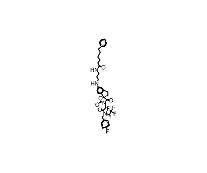 C[C@H](N(Cc1ccc(F)cc1)C(=O)CN1C(=O)O[C@@]2(CCc3cc(NCCCNC(=O)CCCCCc4ccccc4)ccc32)C1=O)C(F)(F)F